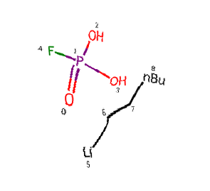 O=P(O)(O)F.[Li][CH2]CCCCC